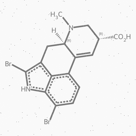 CN1C[C@H](C(=O)O)C=C2c3ccc(Br)c4[nH]c(Br)c(c34)C[C@H]21